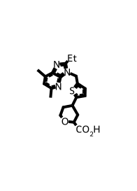 CCc1nc2c(C)cc(C)nc2n1Cc1ccc(C2CCOC(C(=O)O)C2)s1